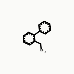 BCc1ccccc1-c1ccccc1